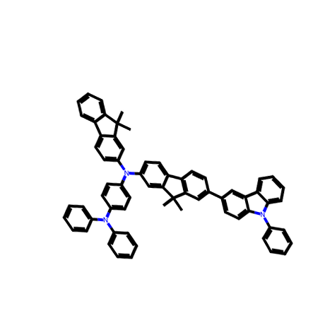 CC1(C)c2ccccc2-c2ccc(N(c3ccc(N(c4ccccc4)c4ccccc4)cc3)c3ccc4c(c3)C(C)(C)c3cc(-c5ccc6c(c5)c5ccccc5n6-c5ccccc5)ccc3-4)cc21